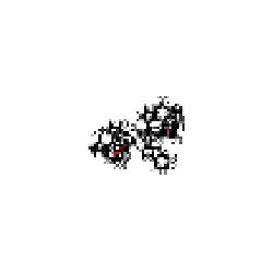 C[C@H]1[C@@H](C[C@H](OC(=O)Oc2ccccc2)C2O[C@@H]3C[C@]4(C)CC[C@H]5[C@H](C)CC[C@@H]([C@H]2C)[C@@]35OO4)O[C@@H]2C[C@]3(C)CC[C@H]4[C@H](C)CC[C@@H]1[C@@]24OO3